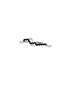 C=C/C=C\CC[C@@H](C)[C@H](O)CC[C@H](C)CCC[C@@H](C)/C=C\C(O)C[C@H](O)C/C=C/C=C\C(=O)O